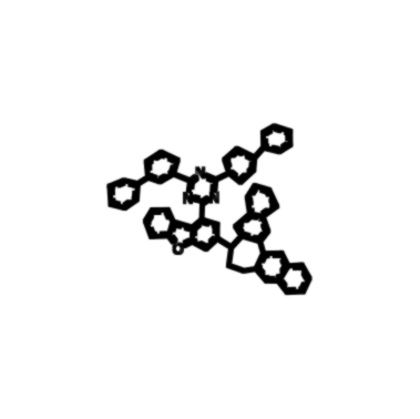 c1ccc(-c2ccc(-c3nc(-c4cccc(-c5ccccc5)c4)nc(-c4cc(C5CCc6cc7ccccc7cc6-c6cc7ccccc7cc65)cc5oc6ccccc6c45)n3)cc2)cc1